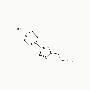 CCCc1ccc(-c2cn(CCC=O)nn2)cc1